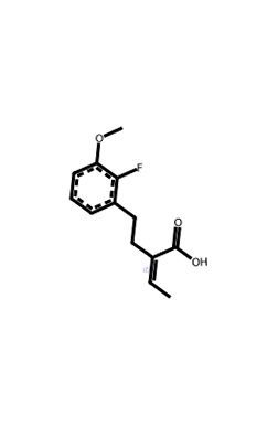 C/C=C(/CCc1cccc(OC)c1F)C(=O)O